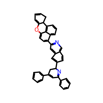 C1=CCC2C(=C1)Oc1ccc(-c3cc4cc(C5CC(c6ccccc6)=CC(c6ccccc6)=N5)ccc4cn3)c3cccc2c13